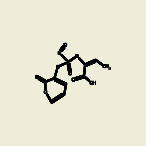 C/C=C(/OP(=O)(N=O)Oc1cccoc1=O)C(=O)O